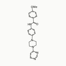 COc1ccc(C(=O)Nc2ccc(N3CCN(c4ccncn4)CC3)cc2)cc1